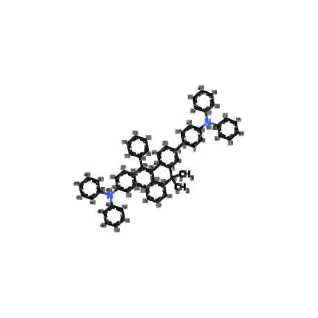 CC1(C)c2cc(-c3ccc(N(c4ccccc4)c4ccccc4)cc3)ccc2-c2c(-c3ccccc3)c3ccc(N(c4ccccc4)c4ccccc4)cc3c3cccc1c23